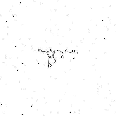 CCOC(=O)Cn1nc(C#N)c2c1CC1CC21